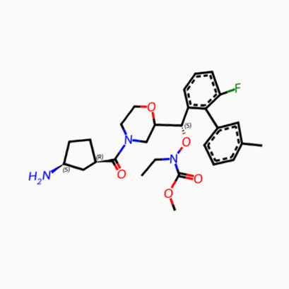 CCN(O[C@@H](c1cccc(F)c1-c1cccc(C)c1)C1CN(C(=O)[C@@H]2CC[C@H](N)C2)CCO1)C(=O)OC